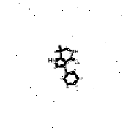 CC1(C)CNC(=O)c2c(-c3ccccc3)c[nH]c21